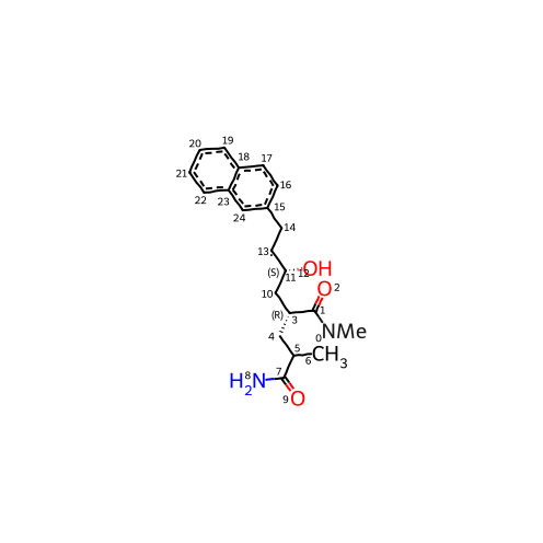 CNC(=O)[C@H](CC(C)C(N)=O)C[C@@H](O)[CH]Cc1ccc2ccccc2c1